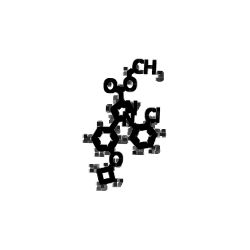 CCOC(=O)c1cc(-c2cccc(OC3CCC3)c2)n(-c2ccccc2Cl)n1